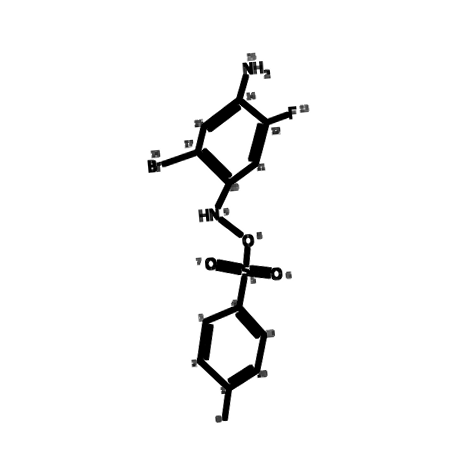 Cc1ccc(S(=O)(=O)ONc2cc(F)c(N)cc2Br)cc1